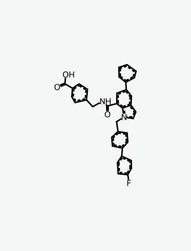 O=C(O)c1ccc(CNC(=O)c2cc(-c3ccccc3)cc3ccn(Cc4ccc(-c5ccc(F)cc5)cc4)c23)cc1